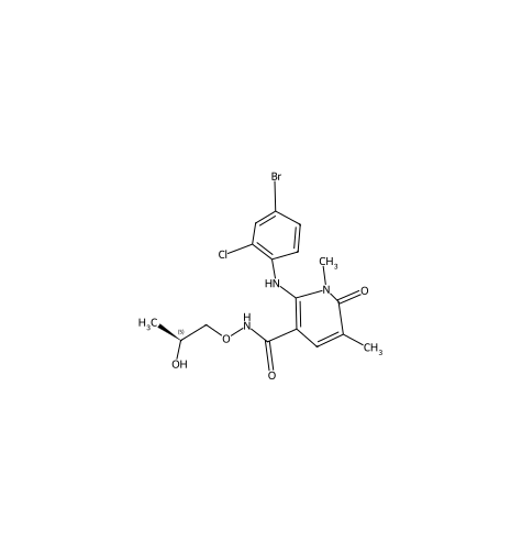 Cc1cc(C(=O)NOC[C@H](C)O)c(Nc2ccc(Br)cc2Cl)n(C)c1=O